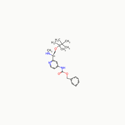 CN[C@@H](CO[Si](C)(C)C(C)(C)C)c1cc(NC(=O)OCc2ccccc2)ccn1